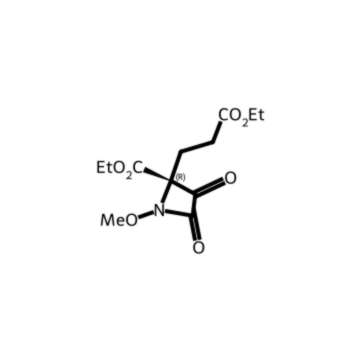 CCOC(=O)CC[C@]1(C(=O)OCC)C(=O)C(=O)N1OC